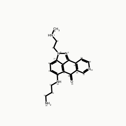 CNCCn1nc2c3c(c(NCCCN)ccc31)C(=O)c1cnccc1-2